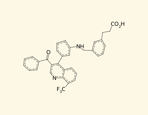 O=C(O)CCc1cccc(CNc2cccc(-c3c(C(=O)c4ccccc4)cnc4c(C(F)(F)F)cccc34)c2)c1